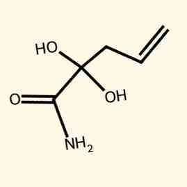 C=CCC(O)(O)C(N)=O